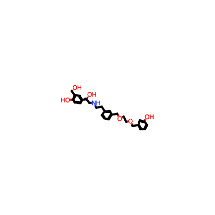 OCc1cc([C@@H](O)CNCCc2cccc(COCCOCc3cccc(O)c3)c2)ccc1O